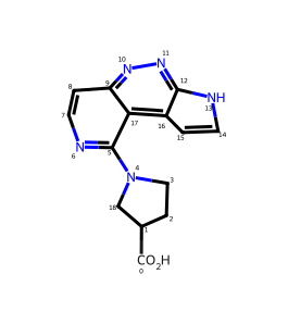 O=C(O)C1CCN(c2nccc3nnc4[nH]ccc4c23)C1